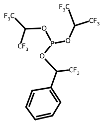 FC(F)(F)C(OP(OC(C(F)(F)F)C(F)(F)F)OC(C(F)(F)F)C(F)(F)F)c1ccccc1